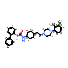 O=C(Nc1ccccc1-c1ccccc1)NC1CCC(CCN2CCN(c3cccc(Cl)c3Cl)CC2)CC1